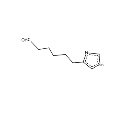 O=CCCCCCc1c[nH]cn1